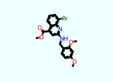 COC(=O)c1cc(NCc2ccc(OC)cc2OC)nc2c(Br)cccc12